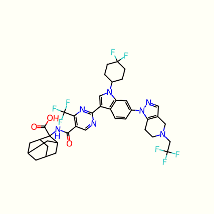 O=C(NC1(C(=O)O)C2CC3CC(C2)CC1C3)c1cnc(-c2cn(C3CCC(F)(F)CC3)c3cc(-n4ncc5c4CCN(CC(F)(F)F)C5)ccc23)nc1C(F)(F)F